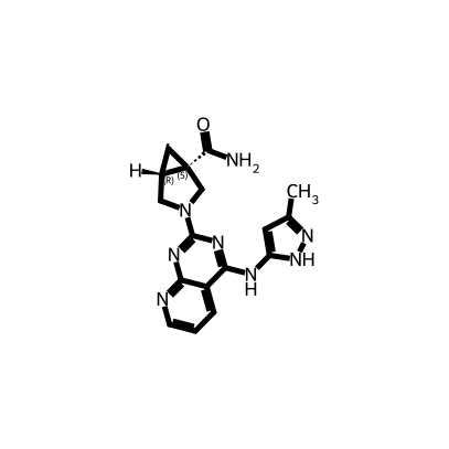 Cc1cc(Nc2nc(N3C[C@@H]4[CH][C@@]4(C(N)=O)C3)nc3ncccc23)[nH]n1